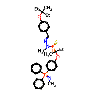 CCC(C)(CC)Oc1ccc(C=NN(C)[PH](=S)C(C)(CC)Oc2ccc(P(=NC)(c3ccccc3)c3ccccc3)cc2)cc1